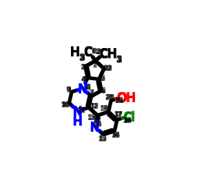 CC1(C)C=c2c(cc3n2CCNC=3c2nccc(Cl)c2CO)C1